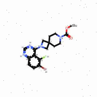 CC(C)(C)OC(=O)N1CCC2(CC1)CN(c1ncnc3ccc(Br)c(F)c13)C2